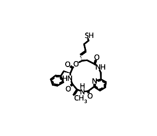 C/C=C1\NC(=O)c2cccc(n2)CNC(=O)C[C@@H](/C=C/CCS)OC(=O)[C@H](Cc2ccccc2)NC1=O